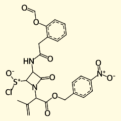 C=C(C)C(C(=O)OCc1ccc([N+](=O)[O-])cc1)N1C(=O)C(NC(=O)Cc2ccccc2OC=O)C1[S+]([O-])Cl